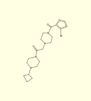 O=C(CN1CCN(C(=O)c2sccc2Br)CC1)N1CCN(C2CCC2)CC1